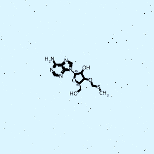 CSCOC1C(O)[C@H](n2cnc3c(N)ncnc32)O[C@@H]1CO